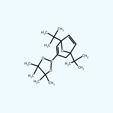 CC(C)(C)C12C=CC(C(C)(C)C)(CC(B3OC(C)(C)C(C)(C)O3)=C1)O2